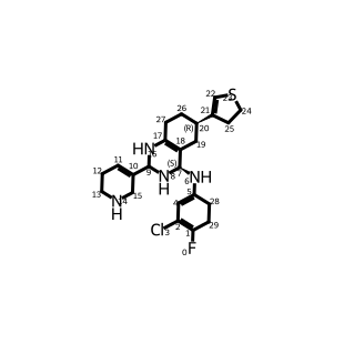 FC1=C(Cl)C=C(N[C@H]2NC(C3=CCCNC3)NC3=C2C[C@H](C2=CSCC2)CC3)CC1